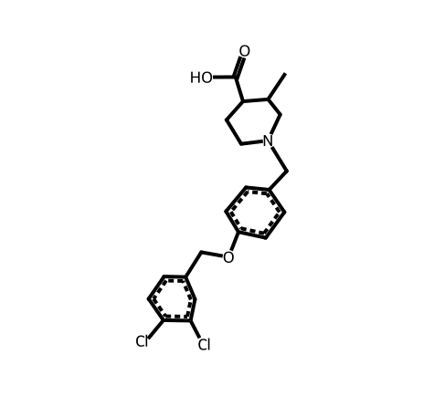 CC1CN(Cc2ccc(OCc3ccc(Cl)c(Cl)c3)cc2)CCC1C(=O)O